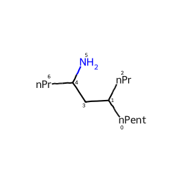 CCCCCC(CCC)CC(N)CCC